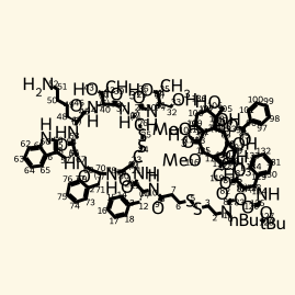 CCCCN(CCSSCCC(=O)N[C@H](Cc1ccccc1)C(=O)N[C@H]1CSSC[C@@H](C(=O)N[C@H](CO)[C@@H](C)O)NC(=O)[C@H]([C@@H](C)O)NC(=O)[C@H](CCCCN)NC(=O)[C@@H](Cc2c[nH]c3ccccc23)NC(=O)[C@H](Cc2ccccc2)NC1=O)C(=O)O[C@@H](C(=O)O[C@H]1C[C@@]2(O)[C@@H](OC(=O)c3ccccc3)[C@@H]3[C@]4(O)CO[C@@H]4C[C@H](OC)[C@@]3(C)C(=O)[C@H](OC)C(=C1C)C2(C)C)[C@@H](NC(=O)OC(C)(C)C)c1ccccc1